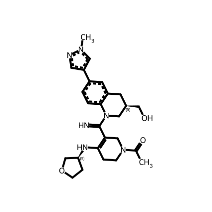 CC(=O)N1CCC(N[C@H]2CCOC2)=C(C(=N)N2C[C@H](CO)Cc3cc(-c4cnn(C)c4)ccc32)C1